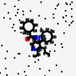 CCCc1c(CC)ncc(NC(=O)C2CCCCCCC2)c1C1CCCCCCC1